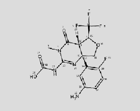 CN1C(=O)[C@@H]2[C@@H](C(F)(F)F)OC[C@]2(c2cc(N)ccc2F)N=C1NC(=O)O